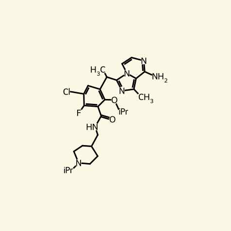 Cc1nc(C(C)c2cc(Cl)c(F)c(C(=O)NCC3CCN(C(C)C)CC3)c2OC(C)C)n2ccnc(N)c12